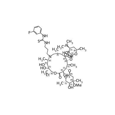 CC[C@H]1OC(=O)[C@H](C)[C@@H](O[C@H]2C[C@@](C)(OC)[C@@H](O)[C@H](C)O2)[C@H](C)[C@@H](O[C@@H]2O[C@H](C)C[C@H](N(C)C)[C@H]2O)[C@](C)(O)C[C@@H](C)CN(CCCNC(=S)Nc2cccc(F)c2)[C@H](C)[C@@H](O)[C@]1(C)O